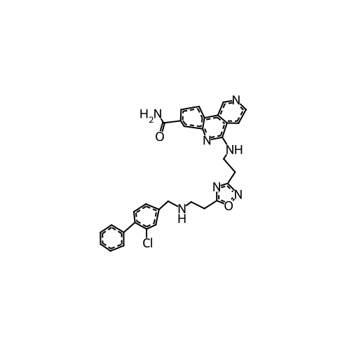 NC(=O)c1ccc2c(c1)nc(NCCc1noc(CCNCc3ccc(-c4ccccc4)c(Cl)c3)n1)c1ccncc12